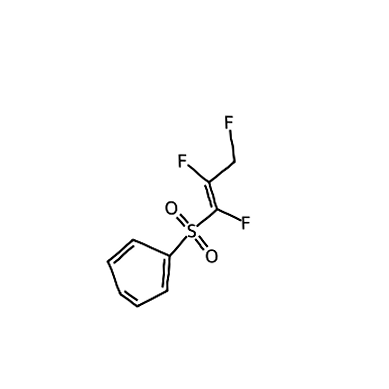 O=S(=O)(C(F)=C(F)CF)c1ccccc1